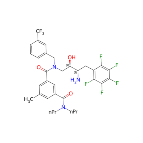 CCCN(CCC)C(=O)c1cc(C)cc(C(=O)N(Cc2cccc(C(F)(F)F)c2)C[C@@H](O)[C@@H](N)Cc2c(F)c(F)c(F)c(F)c2F)c1